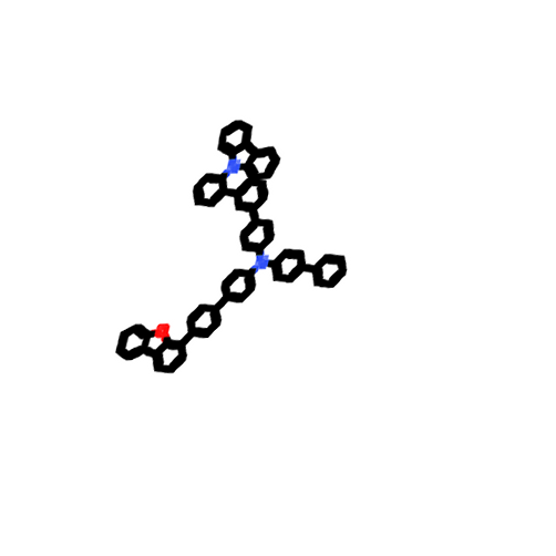 c1ccc(-c2ccc(N(c3ccc(-c4ccc(-c5cccc6c5oc5ccccc56)cc4)cc3)c3ccc(-c4cccc(-c5ccccc5-n5c6ccccc6c6ccccc65)c4)cc3)cc2)cc1